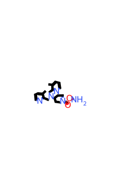 Cc1cccnc1CN(Cc1ncccc1C)C1CCN(C(=O)ON)CC1